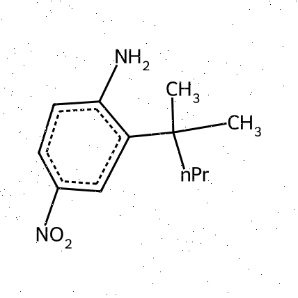 CCCC(C)(C)c1cc([N+](=O)[O-])ccc1N